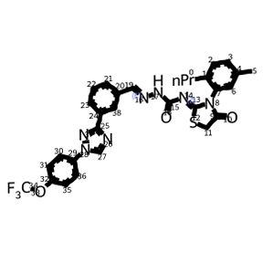 CCCc1ccc(C)cc1N1C(=O)CS/C1=N\C(=O)N/N=C/c1cccc(-c2ncn(-c3ccc(OC(F)(F)F)cc3)n2)c1